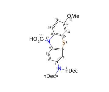 CCCCCCCCCCN(CCCCCCCCCC)c1ccc2c(c1)Sc1cc(OC)ccc1N2C(=O)O